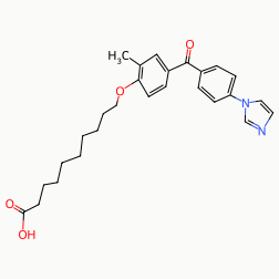 Cc1cc(C(=O)c2ccc(-n3ccnc3)cc2)ccc1OCCCCCCCCCC(=O)O